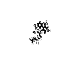 CCOC(=O)C(NC(=O)C1=C(C)NC(C)=C(C(=O)OC)C1c1cccc([N+](=O)[O-])c1)c1csc(NC(=O)OC(C)(C)C)n1